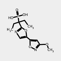 CCC(CC)(c1ncc(-c2cc(OC)no2)o1)P(=O)(O)O